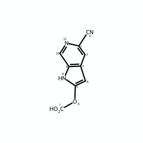 N#Cc1cc2cc(OC(=O)O)[nH]c2cn1